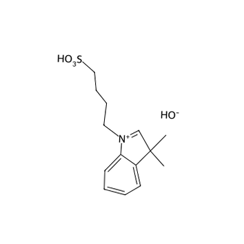 CC1(C)C=[N+](CCCCS(=O)(=O)O)c2ccccc21.[OH-]